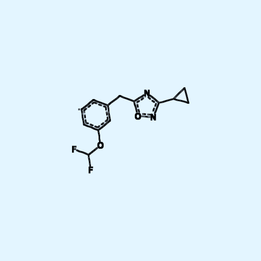 FC(F)Oc1c[c]cc(Cc2nc(C3CC3)no2)c1